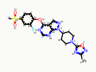 CC(C)c1noc(N2CCC(n3ncc4c(Oc5ccc(S(C)(=O)=O)cc5F)ncnc43)CC2)n1